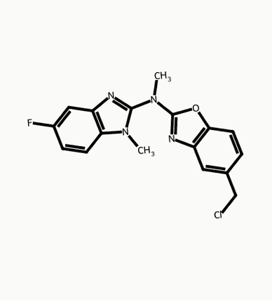 CN(c1nc2cc(CCl)ccc2o1)c1nc2cc(F)ccc2n1C